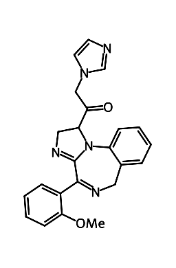 COc1ccccc1C1=NCc2ccccc2N2C1=NCC2C(=O)Cn1ccnc1